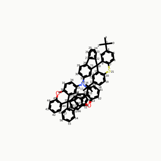 CC(C)(C)c1ccc2c(c1)C1(c3cc(C(C)(C)C)ccc3S2)c2ccccc2-c2ccc(N(c3ccc4c(c3)C3(c5ccccc5O4)c4ccccc4-c4ccccc43)c3cccc4oc5ccccc5c34)cc21